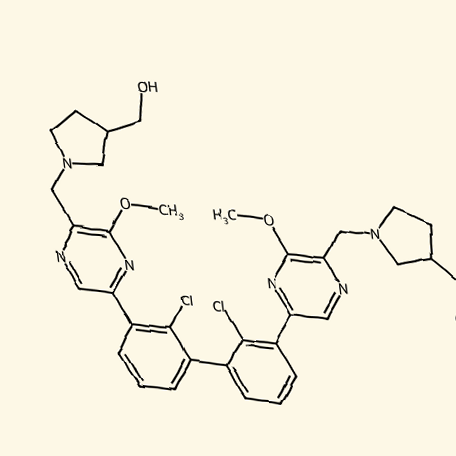 COc1nc(-c2cccc(-c3cccc(-c4cnc(CN5CCC(CO)C5)c(OC)n4)c3Cl)c2Cl)cnc1CN1CCC(CO)C1